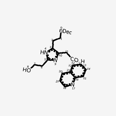 CCCCCCCCCCCCc1[nH]c(CCO)nc1CC(=O)O.c1ccc2ncccc2c1